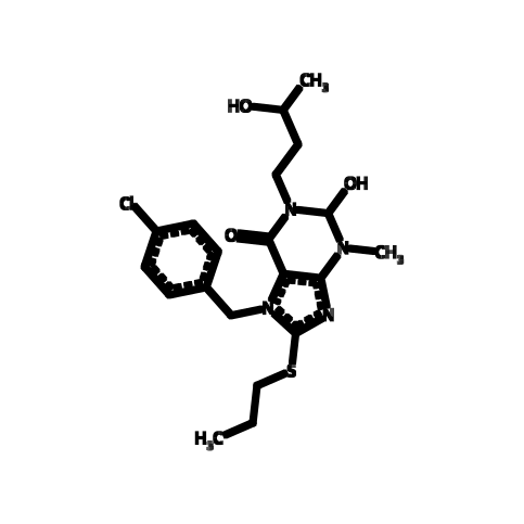 CCCSc1nc2c(n1Cc1ccc(Cl)cc1)C(=O)N(CCC(C)O)C(O)N2C